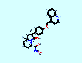 C[C@@]1(c2ccc(OCc3ccnc4ccccc34)cc2)C[C@H]2CCC[C@@H](C(=O)NO)N2C1=O